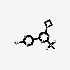 CS(=O)(=O)c1nc(-c2cnc(N)nc2)cc(N2CCC2)n1